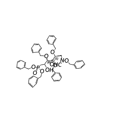 O=CN(C[C@H](OCc1ccccc1)[C@H](OCc1ccccc1)[C@H](OCc1ccccc1)C(O)CP(=O)(OCc1ccccc1)OCc1ccccc1)OCc1ccccc1